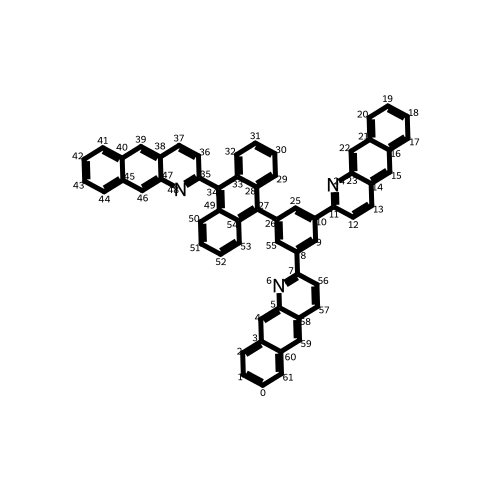 c1ccc2cc3nc(-c4cc(-c5ccc6cc7ccccc7cc6n5)cc(-c5c6ccccc6c(-c6ccc7cc8ccccc8cc7n6)c6ccccc56)c4)ccc3cc2c1